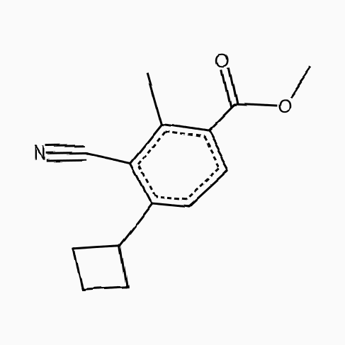 COC(=O)c1ccc(C2CCC2)c(C#N)c1C